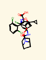 O=C(O)c1ccc(NC(=O)N2C3CCC2CC(OCc2c(-c4c(Cl)cccc4Cl)noc2C2CC2)C3)cc1F